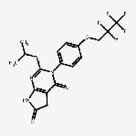 CC(C)Sc1nc2c(c(=O)n1-c1ccc(OCC(F)(F)C(F)(F)F)cc1)CC(=O)N2